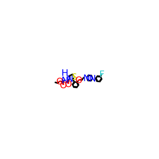 CCOC(=O)NC(=O)N1CCSC1c1ccccc1OCCN1CCN(c2cccc(F)c2)CC1